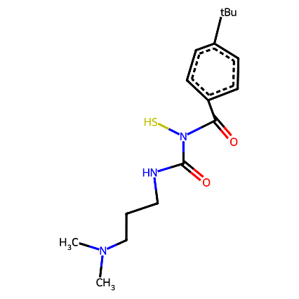 CN(C)CCCNC(=O)N(S)C(=O)c1ccc(C(C)(C)C)cc1